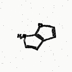 C1=Cc2ccoc2[SiH2]1